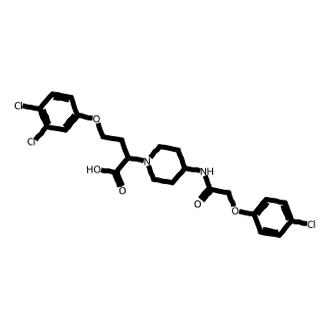 O=C(COc1ccc(Cl)cc1)NC1CCN(C(CCOc2ccc(Cl)c(Cl)c2)C(=O)O)CC1